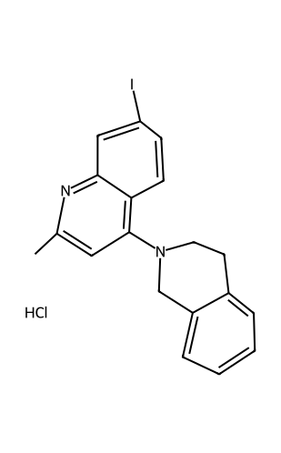 Cc1cc(N2CCc3ccccc3C2)c2ccc(I)cc2n1.Cl